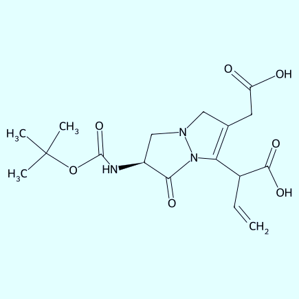 C=CC(C(=O)O)C1=C(CC(=O)O)CN2C[C@H](NC(=O)OC(C)(C)C)C(=O)N12